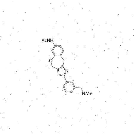 CNCc1cccc(-c2cc3n(n2)Cc2ccc(NC(C)=O)cc2OC3)c1